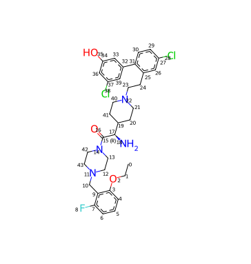 CCOc1cccc(F)c1CN1CCN(C(=O)[C@H](N)C2CCN(CCc3cc(Cl)ccc3-c3cc(O)cc(Cl)c3)CC2)CC1